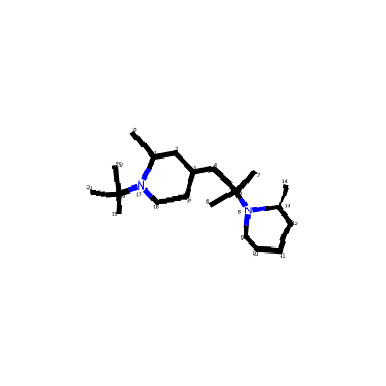 CC1CC(CC(C)(C)N2CCCC[C@@H]2C)CCN1C(C)(C)C